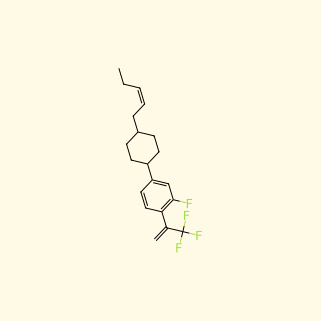 C=C(c1ccc(C2CCC(C/C=C\CC)CC2)cc1F)C(F)(F)F